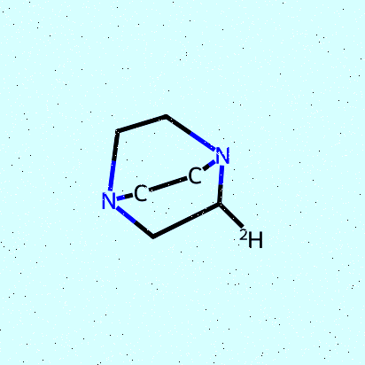 [2H]C1CN2CCN1CC2